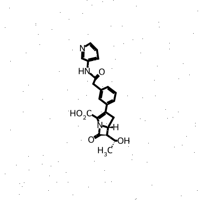 C[C@@H](O)[C@H]1C(=O)N2C(C(=O)O)=C(c3cccc(CC(=O)Nc4cccnc4)c3)C[C@H]12